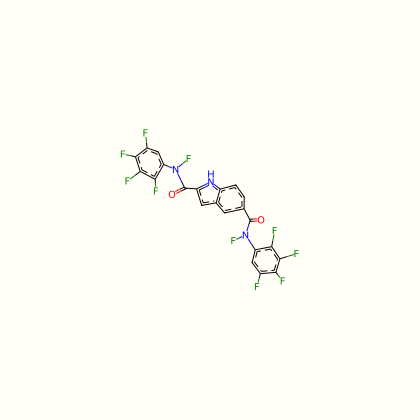 O=C(c1ccc2[nH]c(C(=O)N(F)c3cc(F)c(F)c(F)c3F)cc2c1)N(F)c1cc(F)c(F)c(F)c1F